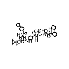 O=C(NCC[C@@H](NC(=O)c1ccc(Nc2nc(NC3(c4ccc(Cl)cc4)CC3)nc(OCC(F)(F)F)n2)cc1)C(=O)O)C(=O)Nc1ccccc1-c1ccccc1